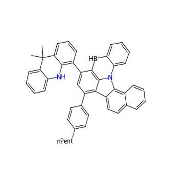 CCCCCc1ccc(-c2cc(-c3cccc4c3Nc3ccccc3C4(C)C)c3c4c2c2ccc5ccccc5c2n4-c2ccccc2B3)cc1